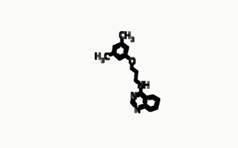 Cc1cc(C)cc(OCCCNc2ncnc3ccccc23)c1